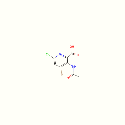 CC(=O)Nc1c(Br)cc(Cl)nc1C(=O)O